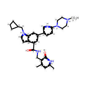 Cc1cc(C)c(CNC(=O)c2cc(-c3ccc(N4CCN(C(=O)O)CC4)nc3)cc3c2ccn3CC2CCC2)c(=O)[nH]1